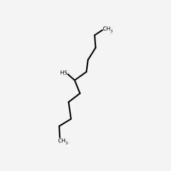 CCCCCC(S)CCCCC